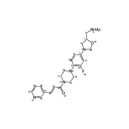 CC(=O)NCC1CN(c2cnc(N3CCN(C(=O)C=Cc4cccnc4)CC3)c(F)c2)CO1